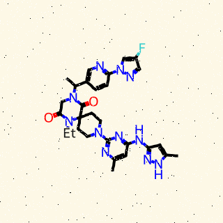 CCN1C(=O)CN(C(C)c2ccc(-n3cc(F)cn3)nc2)C(=O)C12CCN(c1nc(C)cc(Nc3cc(C)[nH]n3)n1)CC2